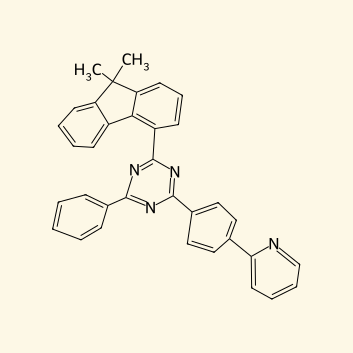 CC1(C)c2ccccc2-c2c(-c3nc(-c4ccccc4)nc(-c4ccc(-c5ccccn5)cc4)n3)cccc21